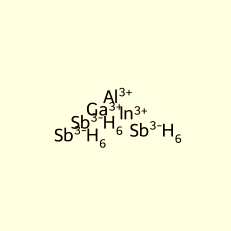 [Al+3].[Ga+3].[In+3].[SbH6-3].[SbH6-3].[SbH6-3]